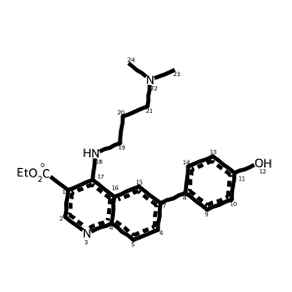 CCOC(=O)c1cnc2ccc(-c3ccc(O)cc3)cc2c1NCCCN(C)C